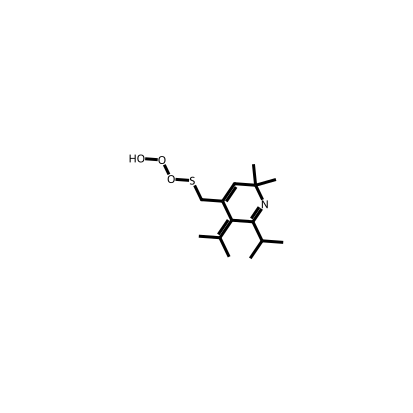 CC(C)=C1C(CSOOO)=CC(C)(C)N=C1C(C)C